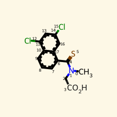 CN(CC(=O)O)C(=S)c1cccc2c(Cl)cc(Cl)cc12